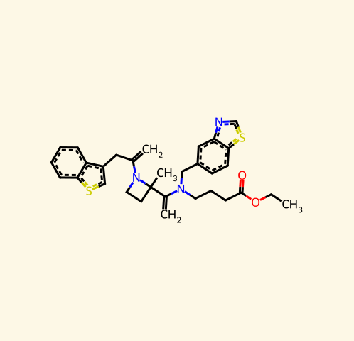 C=C(Cc1csc2ccccc12)N1CCC1(C)C(=C)N(CCCC(=O)OCC)Cc1ccc2scnc2c1